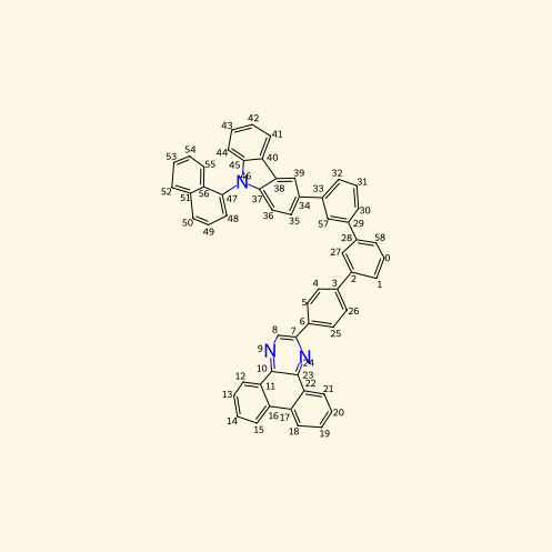 c1cc(-c2ccc(-c3cnc4c5ccccc5c5ccccc5c4n3)cc2)cc(-c2cccc(-c3ccc4c(c3)c3ccccc3n4-c3cccc4ccccc34)c2)c1